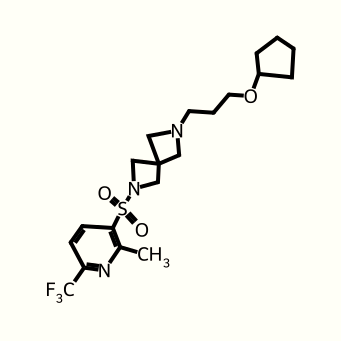 Cc1nc(C(F)(F)F)ccc1S(=O)(=O)N1CC2(CN(CCCOC3CCCC3)C2)C1